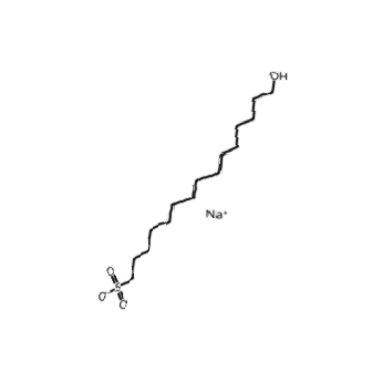 O=S(=O)([O-])CCCCCCCCCCCCCCCO.[Na+]